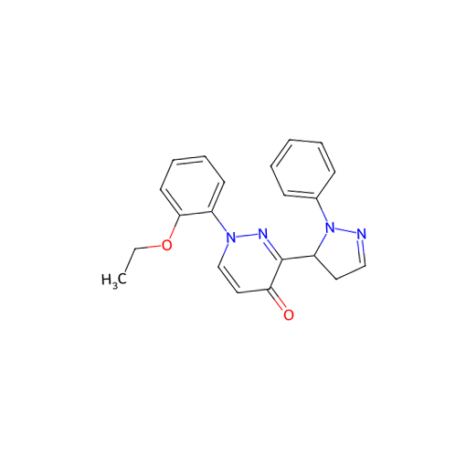 CCOc1ccccc1-n1ccc(=O)c(C2CC=NN2c2ccccc2)n1